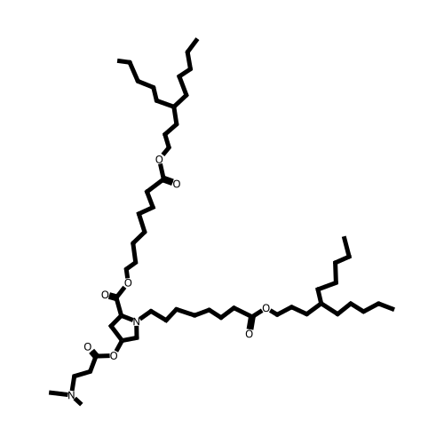 CCCCCC(CCCCC)CCCOC(=O)CCCCCCCOC(=O)C1CC(OC(=O)CCN(C)C)CN1CCCCCCCC(=O)OCCCC(CCCCC)CCCCC